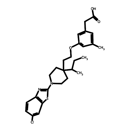 CCC(C)C1(CCOc2cc(C)cc(CC(=O)O)c2)CCN(c2nc3ccc(Cl)cc3s2)CC1